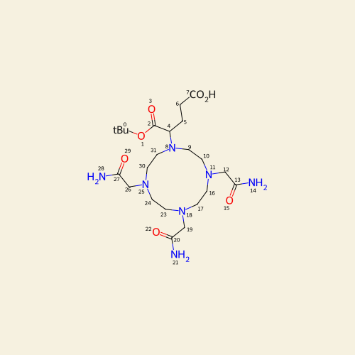 CC(C)(C)OC(=O)C(CCC(=O)O)N1CCN(CC(N)=O)CCN(CC(N)=O)CCN(CC(N)=O)CC1